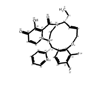 CC[C@@H]1/C=C/COc2c(ccc(F)c2F)[C@H](c2ccccn2)N2CN1C(=O)c1c(O)c(=O)ccn12